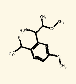 COc1ccc(C(C)F)c(C(N)C(C)OC)c1